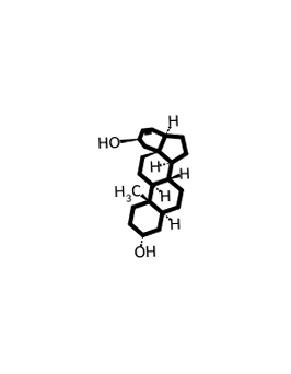 C[C@]12CC[C@@H](O)C[C@@H]1CC[C@@H]1[C@@H]2CC[C@@]23C[C@@H](O)C=C[C@H]2CC[C@@H]13